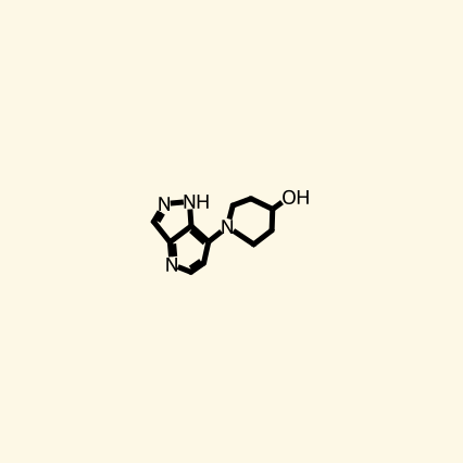 OC1CCN(c2ccnc3cn[nH]c23)CC1